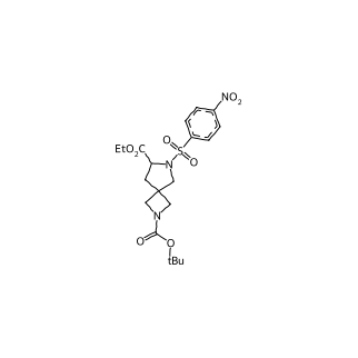 CCOC(=O)C1CC2(CN(C(=O)OC(C)(C)C)C2)CN1S(=O)(=O)c1ccc([N+](=O)[O-])cc1